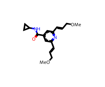 COCC=Cc1cc(C(=O)NC2CC2)cc(C=CCOC)n1